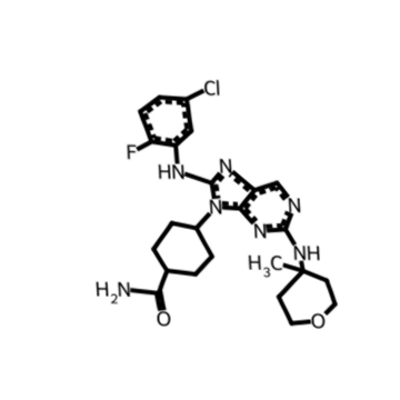 CC1(Nc2ncc3nc(Nc4cc(Cl)ccc4F)n(C4CCC(C(N)=O)CC4)c3n2)CCOCC1